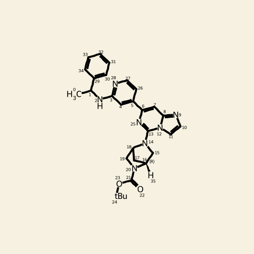 CC(Nc1cc(-c2cc3nccn3c(N3C[C@H]4CC3CN4C(=O)OC(C)(C)C)n2)ccn1)c1ccccc1